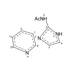 CC(=O)Nc1ncc[nH]1.c1ccncc1